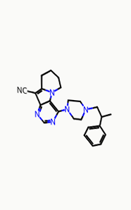 CC(CN1CCN(c2ncnc3c(C#N)c4n(c23)CCCC4)CC1)c1ccccc1